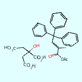 CC(=O)OC(=O)C(C)=CC(c1ccccc1)(c1ccccc1)c1ccccc1.O=C(O)CC(O)(CC(=O)O)C(=O)O